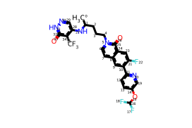 CC(CCCn1ccc2cc(-c3ccc(OC(F)F)cn3)c(F)cc2c1=O)Nc1cn[nH]c(=O)c1C(F)(F)F